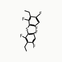 CCc1c(F)cc(F)c(Sc2c(F)cc(F)c(CC)c2F)c1F